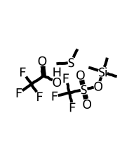 CSC.C[Si](C)(C)OS(=O)(=O)C(F)(F)F.O=C(O)C(F)(F)F